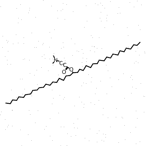 CCCCCCCCCCCCCCCCCCCCC(CCCCCCCCCCCCCCCCCCCC)OC(=O)CCCN(C)C